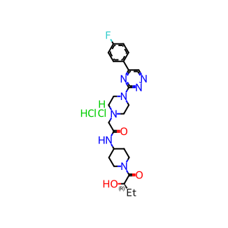 CC[C@@H](O)C(=O)N1CCC(NC(=O)CN2CCN(c3nncc(-c4ccc(F)cc4)n3)CC2)CC1.Cl.Cl